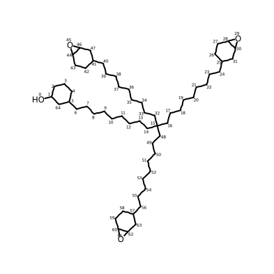 OC1CCCC(CCCCCCCCCC(CCCCCCCCCC2CCC3OC3C2)(CCCCCCCCCC2CCC3OC3C2)CCCCCCCCCC2CCC3OC3C2)C1